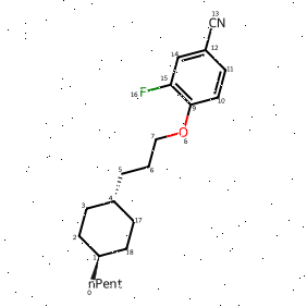 CCCCC[C@H]1CC[C@H](CCCOc2ccc(C#N)cc2F)CC1